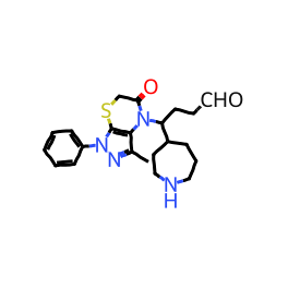 Cc1nn(-c2ccccc2)c2c1N(C(CCC=O)C1CCCNCC1)C(=O)CS2